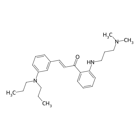 CCCN(CCC)c1cccc(C=CC(=O)c2ccccc2NCCCN(C)C)c1